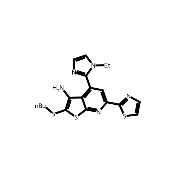 CCCCSc1sc2nc(-c3nccs3)cc(-c3nccn3CC)c2c1N